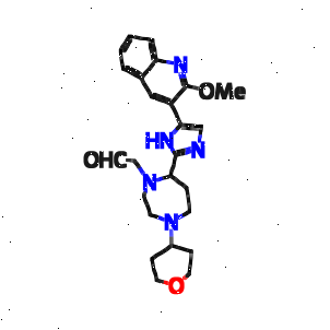 COc1nc2ccccc2cc1-c1cnc(C2CCN(C3CCOCC3)CCN2CC=O)[nH]1